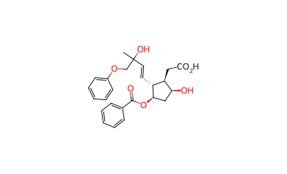 CC(O)(C=C[C@@H]1[C@@H](CC(=O)O)[C@@H](O)C[C@H]1OC(=O)c1ccccc1)COc1ccccc1